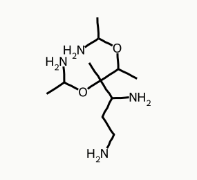 CC(N)OC(C)C(C)(OC(C)N)C(N)CCN